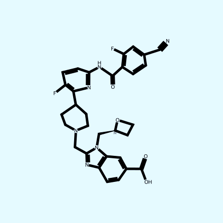 N#Cc1ccc(C(=O)Nc2ccc(F)c(C3CCN(Cc4nc5ccc(C(=O)O)cc5n4C[C@@H]4CCO4)CC3)n2)c(F)c1